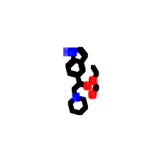 CCOC=O.O=C(CN1CCCCC1)c1ccc2[nH]ccc2c1